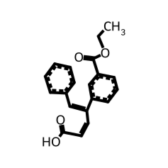 CCOC(=O)c1cccc(C(/C=C\C(=O)O)=C\c2ccccc2)c1